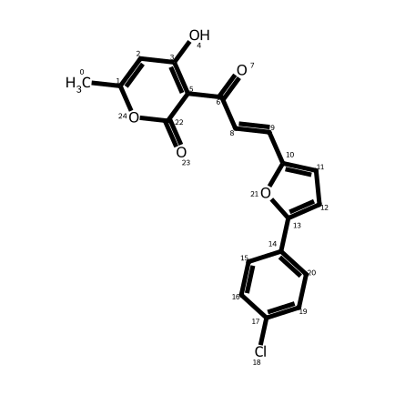 Cc1cc(O)c(C(=O)C=Cc2ccc(-c3ccc(Cl)cc3)o2)c(=O)o1